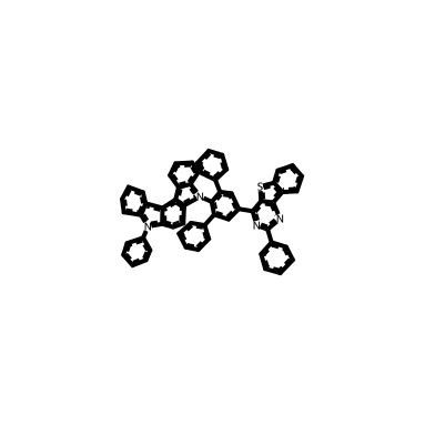 c1ccc(-c2nc(-c3cc(-c4ccccc4)c(-n4c5ccccc5c5c6c7ccccc7n(-c7ccccc7)c6ccc54)c(-c4ccccc4)c3)c3sc4ccccc4c3n2)cc1